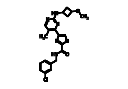 COC1CC(Nc2ncc(C)c(-c3coc(C(=O)NCc4cccc(Cl)c4)n3)n2)C1